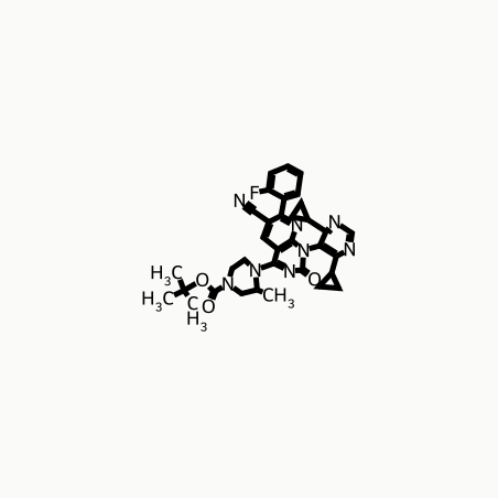 CC1CN(C(=O)OC(C)(C)C)CCN1c1nc(=O)n(-c2c(C3CC3)ncnc2C2CC2)c2nc(-c3ccccc3F)c(C#N)cc12